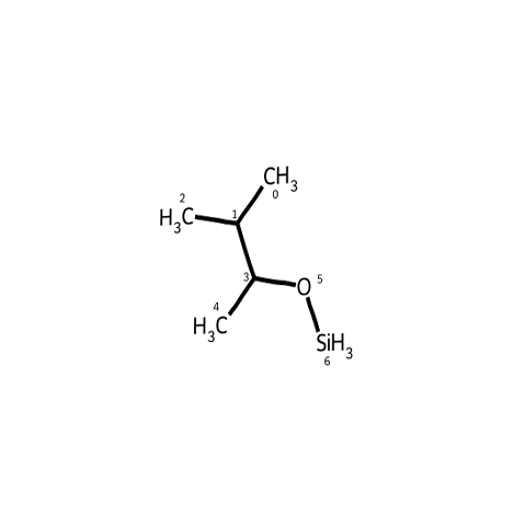 CC(C)C(C)O[SiH3]